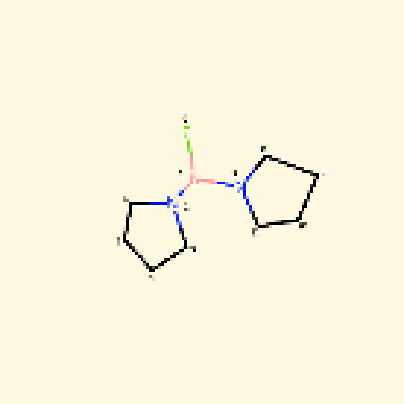 FB(N1CCCC1)N1CCCC1